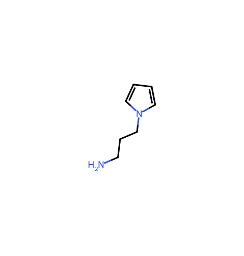 NCCCn1cccc1